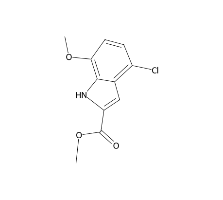 COC(=O)c1cc2c(Cl)ccc(OC)c2[nH]1